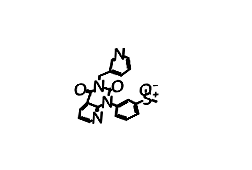 C[S+]([O-])c1cccc(-n2c(=O)n(Cc3cccnc3)c(=O)c3cccnc32)c1